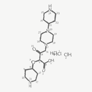 Cl.Cl.Cl.O=C(O)C(OC1CCNCC1)C(=O)CN1CCN(C2CCNCC2)CC1